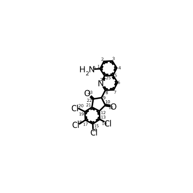 Nc1cccc2ccc(C3C(=O)c4c(Cl)c(Cl)c(Cl)c(Cl)c4C3=O)nc12